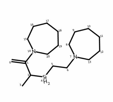 C=C(C(C)[SiH2]CCN1CCCCCC1)N1CCCCCC1